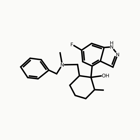 CC1CCCC(CN(C)Cc2ccccc2)C1(O)c1cc(F)cc2[nH]ncc12